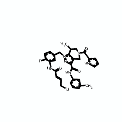 Cc1cccc(NC(=O)c2nn(Cc3ccc(F)c(NC(=O)C=CCCl)c3)c3c2CN(C(=O)c2ccc[nH]2)CC3C)c1